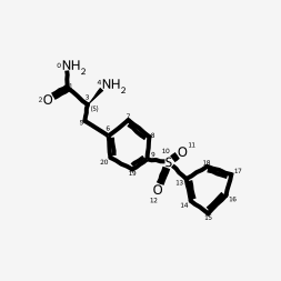 NC(=O)[C@@H](N)Cc1ccc(S(=O)(=O)c2ccccc2)cc1